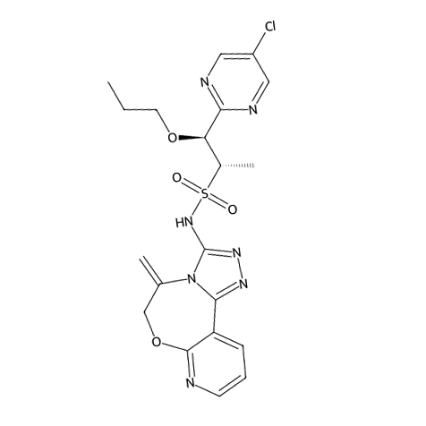 C=C1COc2ncccc2-c2nnc(NS(=O)(=O)[C@@H](C)[C@@H](OCCC)c3ncc(Cl)cn3)n21